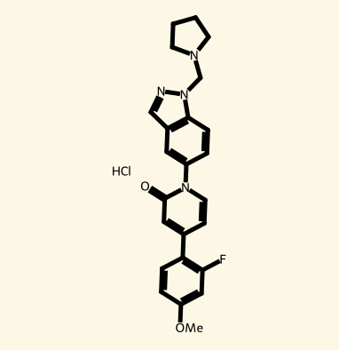 COc1ccc(-c2ccn(-c3ccc4c(cnn4CN4CCCC4)c3)c(=O)c2)c(F)c1.Cl